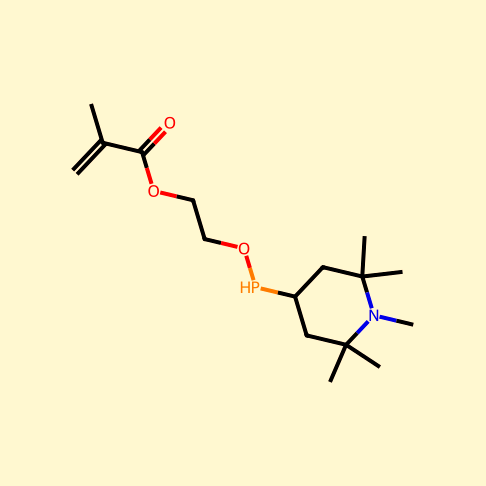 C=C(C)C(=O)OCCOPC1CC(C)(C)N(C)C(C)(C)C1